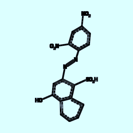 O=[N+]([O-])c1ccc(N=Nc2cc(O)c3ccccc3c2S(=O)(=O)O)c([N+](=O)[O-])c1